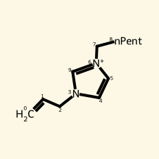 C=CCn1cc[n+](CCCCCC)c1